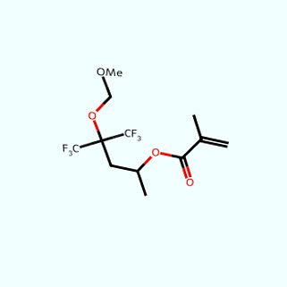 C=C(C)C(=O)OC(C)CC(OCOC)(C(F)(F)F)C(F)(F)F